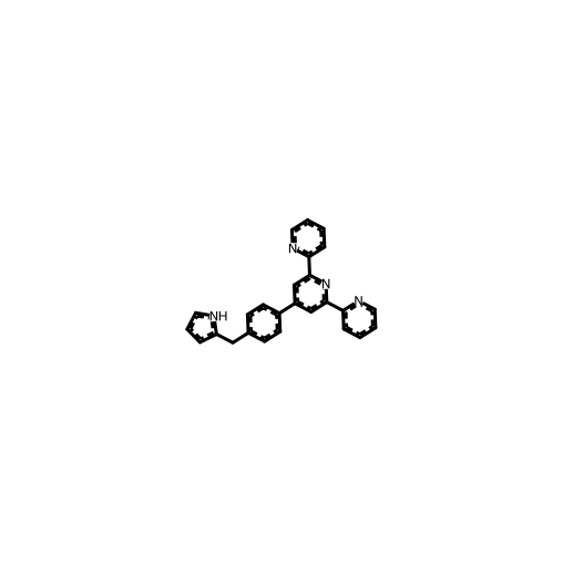 c1ccc(-c2cc(-c3ccc(Cc4ccc[nH]4)cc3)cc(-c3ccccn3)n2)nc1